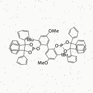 COc1cc(-c2cc(OC)cc(C(C)(C)C)c2OP2OC(c3ccccc3)(c3ccccc3)C(c3ccccc3)(c3ccccc3)O2)c(OP2OC(c3ccccc3)(c3ccccc3)C(c3ccccc3)(c3ccccc3)O2)c(C(C)(C)C)c1